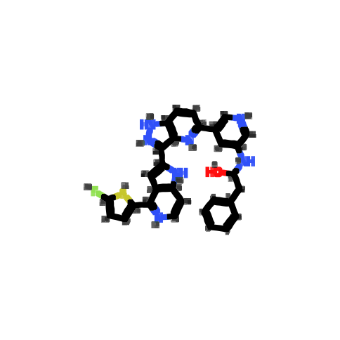 OC(Cc1ccccc1)Nc1cncc(-c2ccc3[nH]nc(-c4cc5c(-c6ccc(F)s6)nccc5[nH]4)c3n2)c1